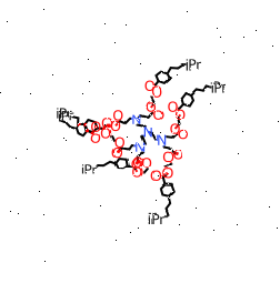 CC(C)CCCC1CCC(C(=O)OCCOC(=O)CCN(CCC(=O)OCCOC(=O)C2CCC(CCCC(C)C)CC2)CCN(CCN(CCC(=O)OCCOC(=O)C2CCC(CCCC(C)C)CC2)CCC(=O)OCCOC(=O)C2CCC(CCCC(C)C)CC2)CCN(CCC(=O)OCCOC(=O)C2CCC(CCCC(C)C)CC2)CCC(=O)OCCOC(=O)C2CCC(CCCC(C)C)CC2)CC1